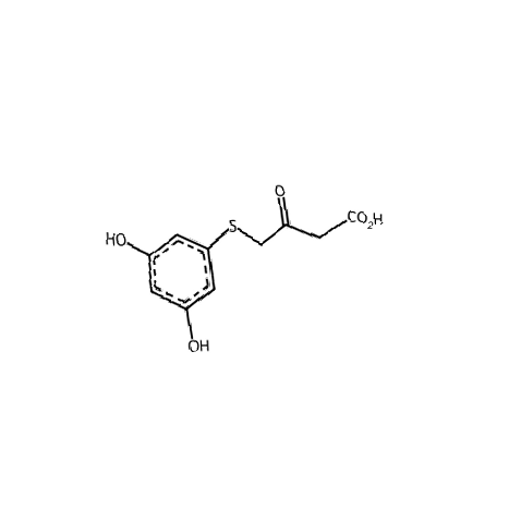 O=C(O)CC(=O)CSc1cc(O)cc(O)c1